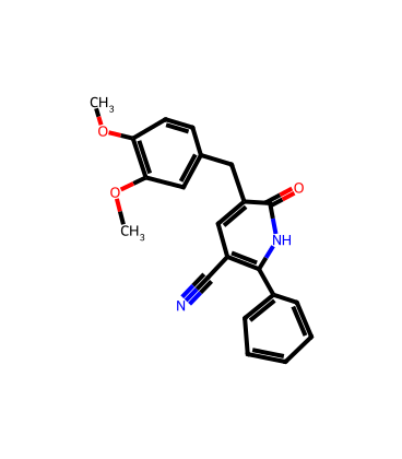 COc1ccc(Cc2cc(C#N)c(-c3ccccc3)[nH]c2=O)cc1OC